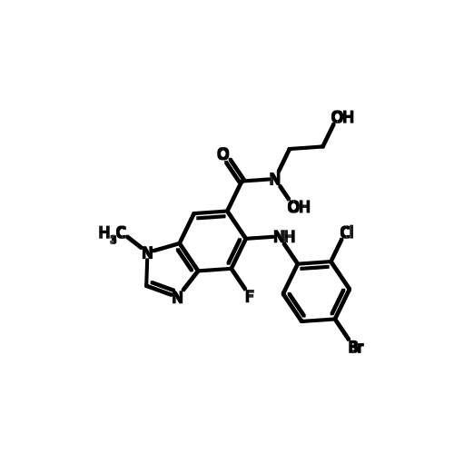 Cn1cnc2c(F)c(Nc3ccc(Br)cc3Cl)c(C(=O)N(O)CCO)cc21